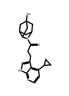 O=C(CCc1c[nH]c2nccc(C3CC3)c12)N1C2CC3CC(O)(C2)CC31